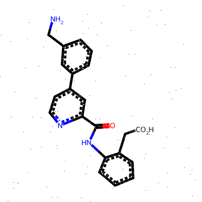 NCc1cccc(-c2ccnc(C(=O)Nc3ccccc3CC(=O)O)c2)c1